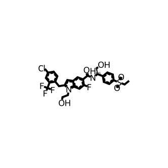 CCS(=O)(=O)c1ccc([C@H](CO)NC(=O)c2cc3cc(Cc4ccc(Cl)cc4C(F)(F)F)n(CCO)c3cc2F)cc1